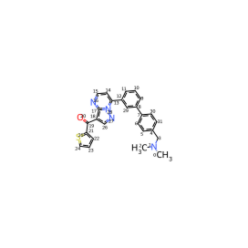 CN(C)Cc1ccc(-c2cccc(-c3ccnc4c(C(=O)c5cccs5)cnn34)c2)cc1